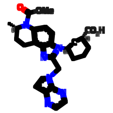 COC(=O)N1c2ccc3c(nc(Cn4ccc5nccnc54)n3[C@@H]3CCC[C@@H](C(=O)O)C3)c2CC[C@@H]1C